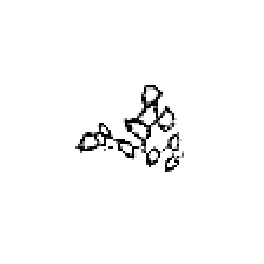 CC1(C)c2ccccc2-c2cccc(-c3cccc(N(c4cccc(-c5cccc6oc7ccccc7c56)c4)c4ccc5c(c4)C4(CC6CCC4C6)c4ccccc4-5)c3)c21